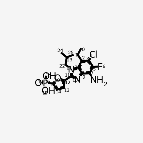 CCc1c(Cl)c(F)c(N)c2nc(-c3ccc(P(=O)(O)O)o3)n(CC(C)C)c12